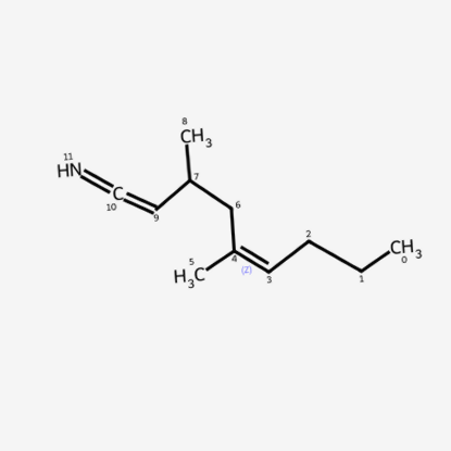 CCC/C=C(/C)CC(C)C=C=N